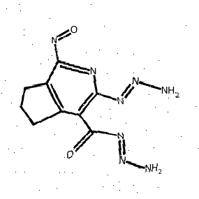 NN=NC(=O)c1c(N=NN)nc(N=O)c2c1CCC2